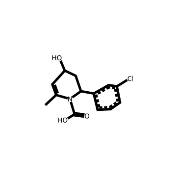 CC1=CC(O)CC(c2cccc(Cl)c2)N1C(=O)O